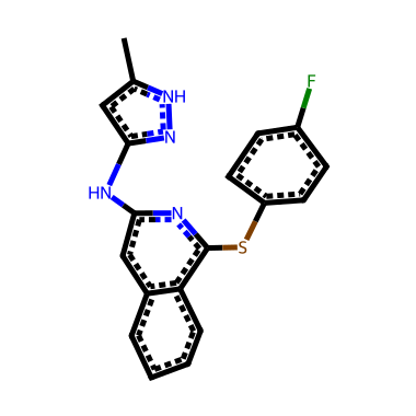 Cc1cc(Nc2cc3ccccc3c(Sc3ccc(F)cc3)n2)n[nH]1